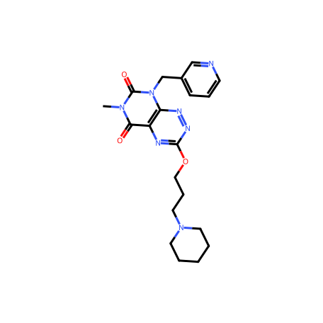 Cn1c(=O)c2nc(OCCCN3CCCCC3)nnc2n(Cc2cccnc2)c1=O